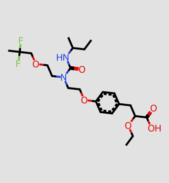 CCOC(Cc1ccc(OCCN(CCOCC(C)(F)F)C(=O)NC(C)CC)cc1)C(=O)O